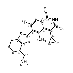 Cc1c(-c2cc3c(s2)CCCC3CN)c(F)cn2c(=O)[nH]c(=O)c(C3CC3)c12